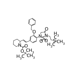 CC(C)(C)OC(=O)N1CCCCC1C=Cc1ccc(N2CC(=O)N(CC[Si](C)(C)C)S2(=O)=O)c(OCc2ccccc2)c1